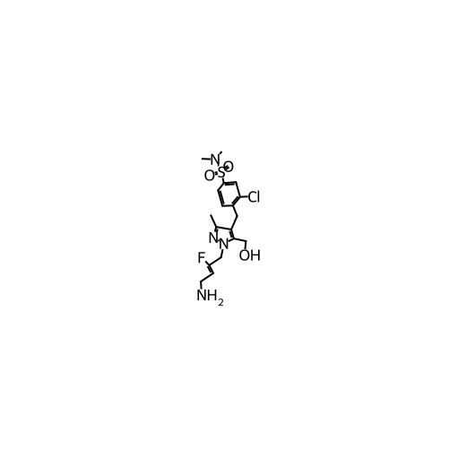 Cc1nn(CC(F)=CCN)c(CO)c1Cc1ccc(S(=O)(=O)N(C)C)cc1Cl